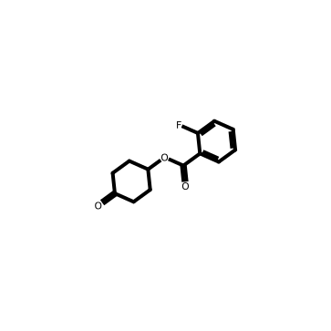 O=C1CCC(OC(=O)c2ccccc2F)CC1